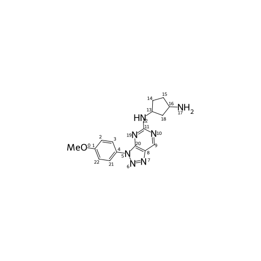 COc1ccc(-n2nnc3cnc(NC4CCC(N)C4)nc32)cc1